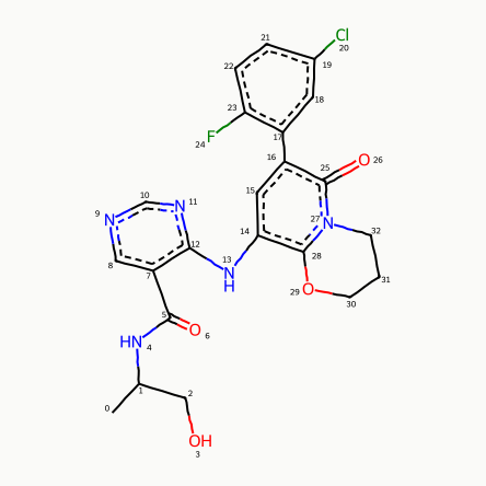 CC(CO)NC(=O)c1cncnc1Nc1cc(-c2cc(Cl)ccc2F)c(=O)n2c1OCCC2